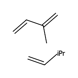 C=CC(=C)C.C=CC(C)C